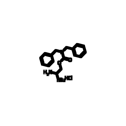 CCCCC(N)COC(=O)N(Cc1ccccc1)Cc1ccccc1.Cl